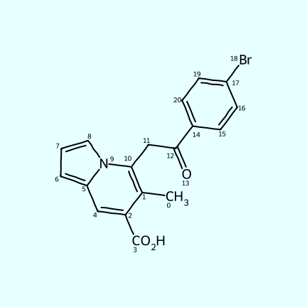 Cc1c(C(=O)O)cc2cccn2c1CC(=O)c1ccc(Br)cc1